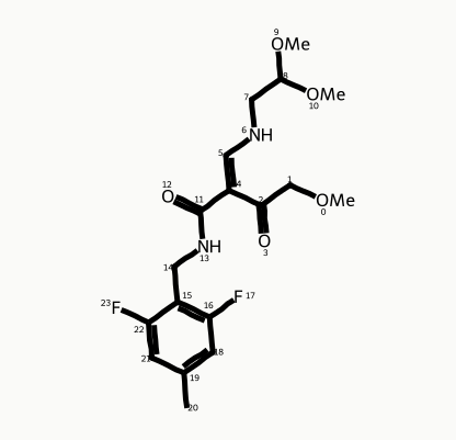 COCC(=O)/C(=C\NCC(OC)OC)C(=O)NCc1c(F)cc(C)cc1F